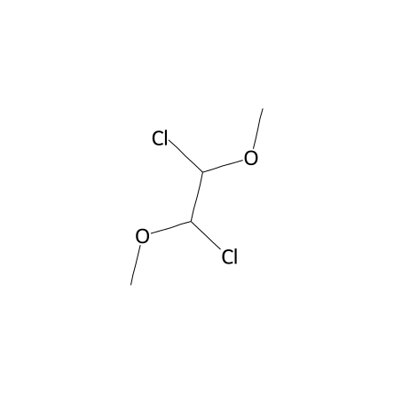 COC(Cl)C(Cl)OC